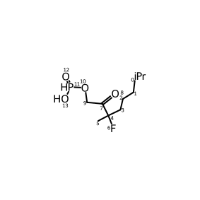 CC(C)CCCC(C)(F)C(=O)CO[PH](=O)O